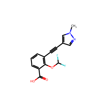 Cn1cc(C#Cc2cccc(C(=O)O)c2OC(F)F)cn1